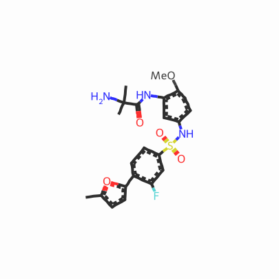 COc1ccc(NS(=O)(=O)c2ccc(-c3ccc(C)o3)c(F)c2)cc1NC(=O)C(C)(C)N